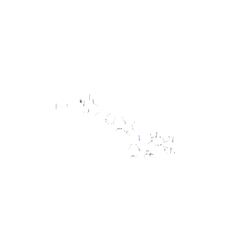 CN(CCO)c1ccc(-c2cc3cc4cc(/C=C/C5=C(C#N)C(=C(C#N)C#N)OC5(c5ccccc5)C(F)(F)F)sc4cc3s2)cc1